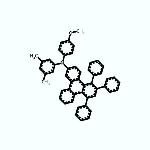 COc1ccc(N(c2cc(C)cc(C)c2)c2ccc3c(c2)c2ccccc2c2c(-c4ccccc4)cc(-c4ccccc4)c(-c4ccccc4)c32)cc1